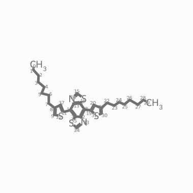 CCCCCCCCc1csc(-c2c3ncsc3c(-c3cc(CCCCCCCC)cs3)c3ncsc23)c1